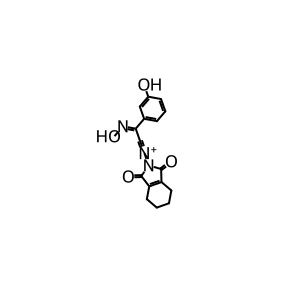 O=C1C2=C(CCCC2)C(=O)N1[N+]#CC(=NO)c1cccc(O)c1